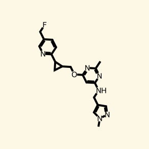 Cc1nc(NCc2cnn(C)c2)cc(OCC2CC2c2ccc(CF)cn2)n1